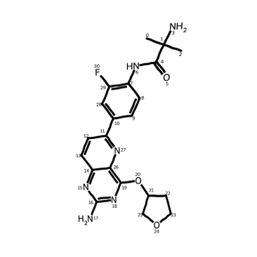 CC(C)(N)C(=O)Nc1ccc(-c2ccc3nc(N)nc(OC4CCOC4)c3n2)cc1F